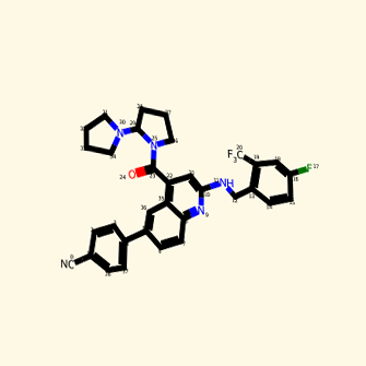 N#Cc1ccc(-c2ccc3nc(NCc4ccc(F)cc4C(F)(F)F)cc(C(=O)N4CCCC4N4CCCC4)c3c2)cc1